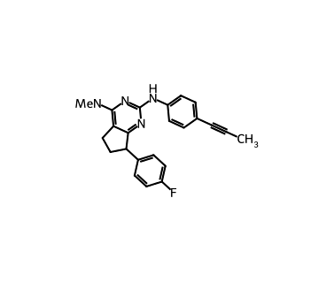 CC#Cc1ccc(Nc2nc(NC)c3c(n2)C(c2ccc(F)cc2)CC3)cc1